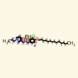 CCCCCCCCCCCCCCOc1ccc(CN(Cc2ccc[n+](CCC)c2)S(C)(=O)=O)cc1Cl.[I-]